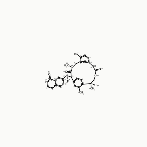 Cc1cc2ccc1[C@@H](C)COC(=O)Nc1ccc(Br)c(c1)CN(C)C(=O)[C@@H]2Nc1ccc2cc[nH]c(=O)c2c1